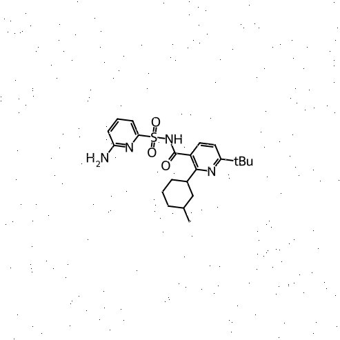 CC1CCCC(c2nc(C(C)(C)C)ccc2C(=O)NS(=O)(=O)c2cccc(N)n2)C1